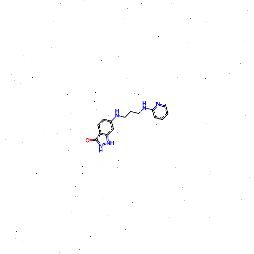 O=c1[nH][nH]c2cc(NCCCNc3ccccn3)ccc12